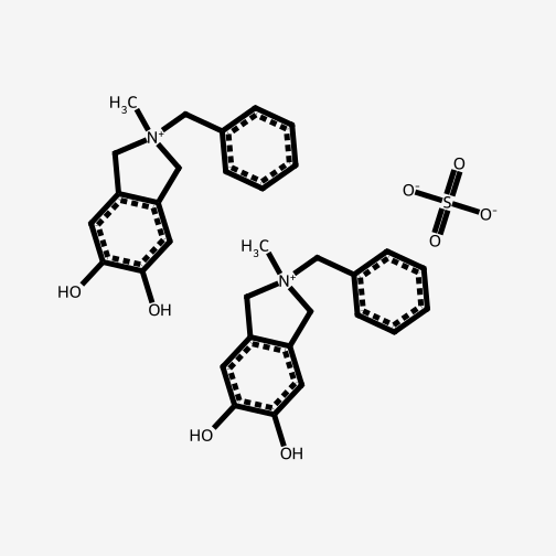 C[N+]1(Cc2ccccc2)Cc2cc(O)c(O)cc2C1.C[N+]1(Cc2ccccc2)Cc2cc(O)c(O)cc2C1.O=S(=O)([O-])[O-]